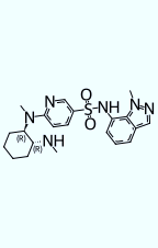 CN[C@@H]1CCCC[C@H]1N(C)c1ccc(S(=O)(=O)Nc2cccc3cnn(C)c23)cn1